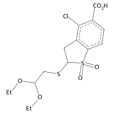 CCOC(CSC1Cc2c(ccc(C(=O)O)c2Cl)S1(=O)=O)OCC